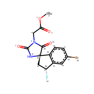 CC(C)(C)OC(=O)CN1C(=O)N[C@]2(C[C@@H](F)c3cc(Br)ccc32)C1=O